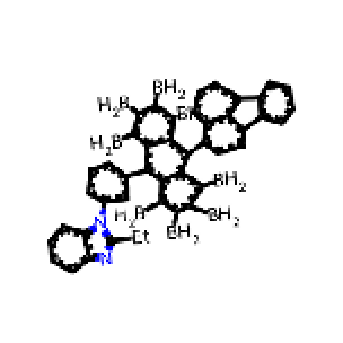 Bc1c(B)c(B)c2c(-c3ccc4c5c(cccc35)-c3ccccc3-4)c3c(B)c(B)c(B)c(B)c3c(-c3cccc(-n4c(CC)nc5ccccc54)c3)c2c1B